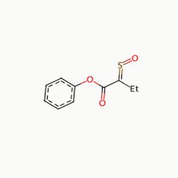 CCC(=S=O)C(=O)Oc1ccccc1